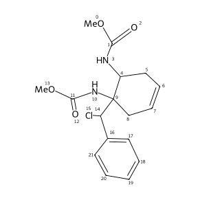 COC(=O)NC1CC=CCC1(NC(=O)OC)C(Cl)c1ccccc1